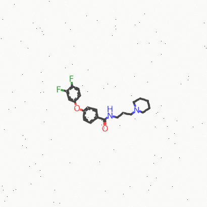 O=C(NCCCN1CCCCC1)c1ccc(Oc2ccc(F)c(F)c2)cc1